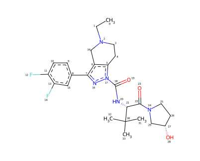 CCN1CCc2c(c(-c3ccc(F)c(F)c3)nn2C(=O)N[C@H](C(=O)N2CC[C@H](O)C2)C(C)(C)C)C1